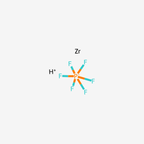 F[P-](F)(F)(F)(F)F.[H+].[Zr]